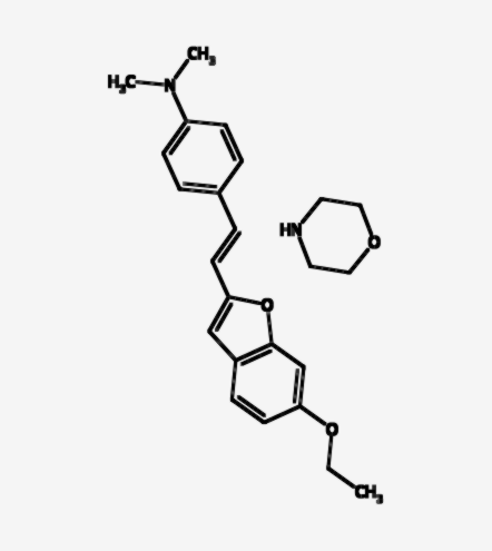 C1COCCN1.CCOc1ccc2cc(C=Cc3ccc(N(C)C)cc3)oc2c1